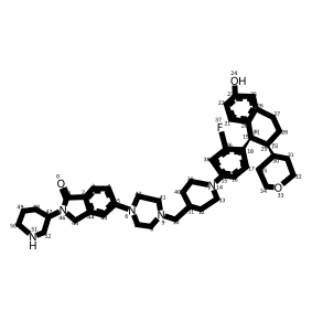 O=C1c2ccc(N3CCN(CC4CCN(c5ccc([C@H]6c7ccc(O)cc7CC[C@H]6C6CCOCC6)c(F)c5)CC4)CC3)cc2CN1C1CCCNC1